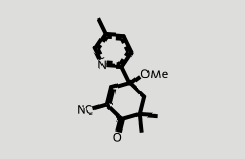 COC1(c2ccc(C)cn2)C=C(C#N)C(=O)C(C)(C)C1